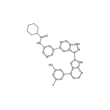 O=C(Nc1cncc(-c2cc3c(-c4cc5c(-c6cc(O)cc(F)c6)ccnc5[nH]4)n[nH]c3cn2)c1)C1CCCCC1